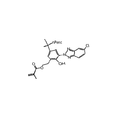 C=C(C)C(=O)OCCc1cc(C(C)(C)CCCCC)cc(-n2nc3ccc(Cl)cc3n2)c1O